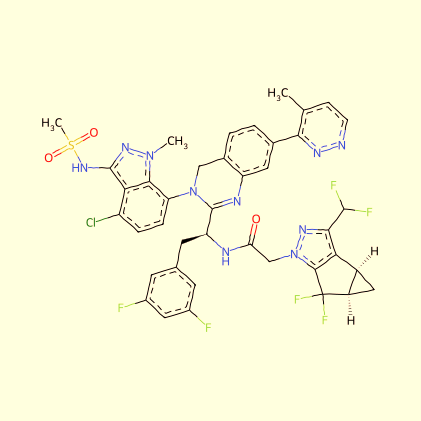 Cc1ccnnc1-c1ccc2c(c1)N=C([C@H](Cc1cc(F)cc(F)c1)NC(=O)Cn1nc(C(F)F)c3c1C(F)(F)[C@@H]1C[C@H]31)N(c1ccc(Cl)c3c(NS(C)(=O)=O)nn(C)c13)C2